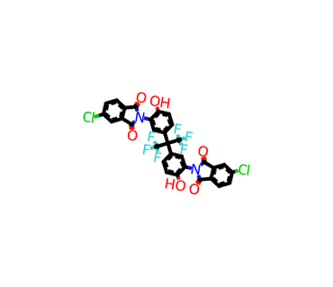 O=C1c2ccc(Cl)cc2C(=O)N1c1cc(C(c2ccc(O)c(N3C(=O)c4ccc(Cl)cc4C3=O)c2)(C(F)(F)F)C(F)(F)F)ccc1O